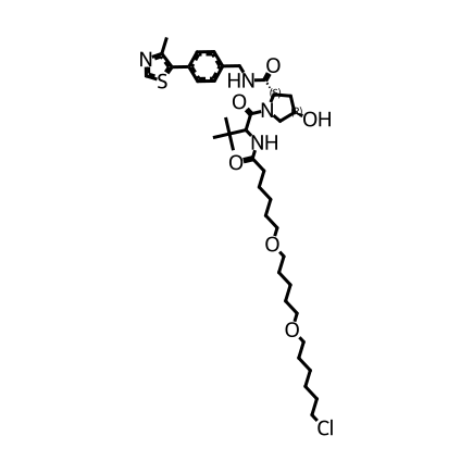 Cc1ncsc1-c1ccc(CNC(=O)[C@@H]2C[C@@H](O)CN2C(=O)C(NC(=O)CCCCCOCCCCCOCCCCCCCl)C(C)(C)C)cc1